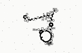 COc1cc2cc(c1Cl)N(C)C(=O)C[C@H](OC(=O)Nc1ccc(NC(=O)[C@H](CCCNC(N)=O)NC(=O)[C@@H](NC(=S)NCCOCCOCCC(=O)ON3C(=O)CCC3=O)C(C)C)cc1F)[C@]1(C)O[C@H]1[C@H](C)[C@@H]1C[C@@](O)(NC(=O)O1)[C@H](OC)/C=C/C=C(\C)C2